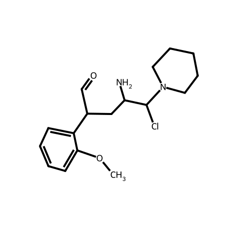 COc1ccccc1C(C=O)CC(N)C(Cl)N1CCCCC1